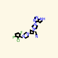 N#CC[C@]1(N2C=CN(c3ncnc4[nH]ccc34)C=C2)C[C@@H](N2CCN(Cc3c(F)ccc(F)c3Cl)CC2)C1